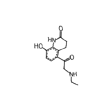 CCNCC(=O)c1ccc(O)c2c1CCC(=O)N2